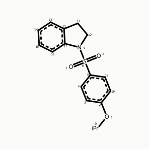 CC(C)Oc1ccc(S(=O)(=O)N2CCc3ccccc32)cc1